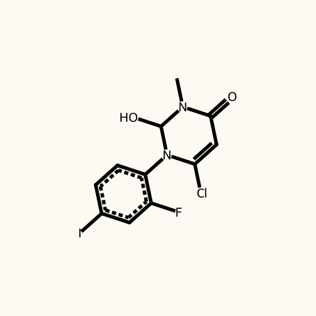 CN1C(=O)C=C(Cl)N(c2ccc(I)cc2F)C1O